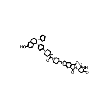 CC1(C(=O)N2CCC(N3Cc4cc5c(cc4C3)C(=O)N([C@@H]3CCC(=O)NC3=O)C5=O)CC2)CCN(c2ccc([C@@H]3c4ccc(O)cc4CC[C@@H]3c3ccccc3)cc2)CC1